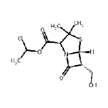 CC(Cl)OC(=O)[C@@H]1N2C(=O)[C@@H](CO)[C@H]2SC1(C)C